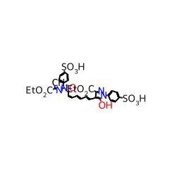 CCOC(=O)/C(C)=N/N(C(=O)/C=C\C=CC=Cc1c(C(=O)OCC)nn(-c2ccc(S(=O)(=O)O)cc2)c1O)c1ccc(S(=O)(=O)O)cc1